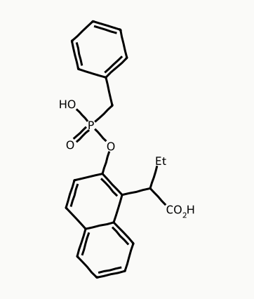 CCC(C(=O)O)c1c(OP(=O)(O)Cc2ccccc2)ccc2ccccc12